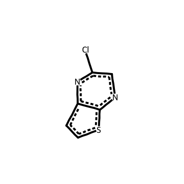 Clc1cnc2sccc2n1